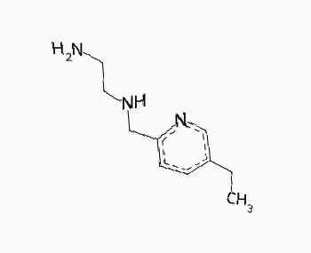 CCc1ccc(CNCCN)nc1